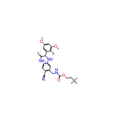 COc1cc(OC)c(F)c(C(Nc2ccc(C#N)c(CNC(=O)OCC[Si](C)(C)C)c2)C(N)=S)c1